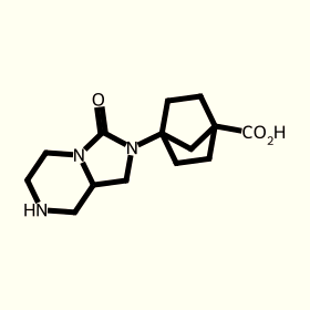 O=C1N2CCNCC2CN1C12CCC(C(=O)O)(CC1)C2